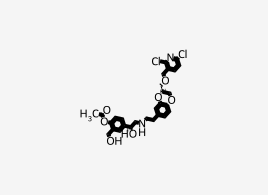 CC(=O)Oc1ccc([C@@H](O)CNCCc2ccc3c(c2)O[C@H](COCc2ccc(Cl)nc2Cl)CO3)cc1CO